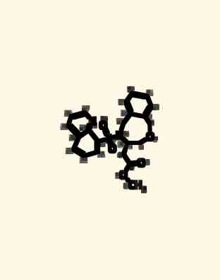 COC(=O)C[C@@H]1COCc2ccccc2CN1S(=O)(=O)c1cccc2cccnc12